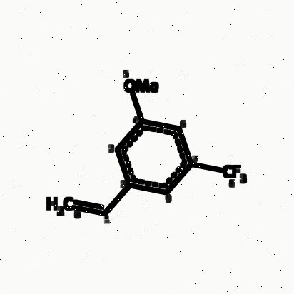 C=Cc1cc(OC)cc(C(F)(F)F)c1